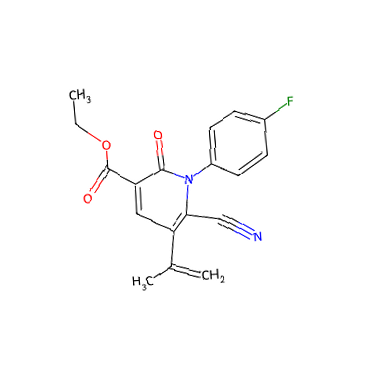 C=C(C)c1cc(C(=O)OCC)c(=O)n(-c2ccc(F)cc2)c1C#N